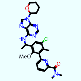 COc1c(C(C)Nc2ncnc3c2ncn3C2CCCCO2)cc(Cl)c(C)c1-c1cccc(C(=O)N(C)C)n1